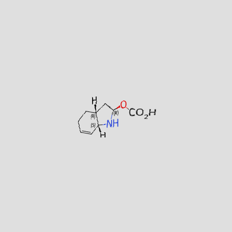 O=C(O)O[C@@H]1C[C@H]2CCC=C[C@H]2N1